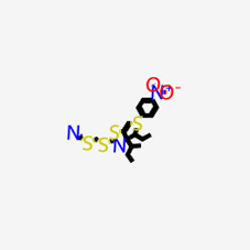 CCC(C)C1(C(C)CC)N=C(SCSC#N)S/C1=C/Sc1ccc([N+](=O)[O-])cc1